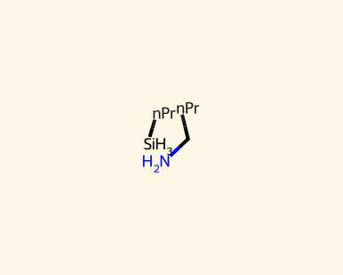 CCCCN.CCC[SiH3]